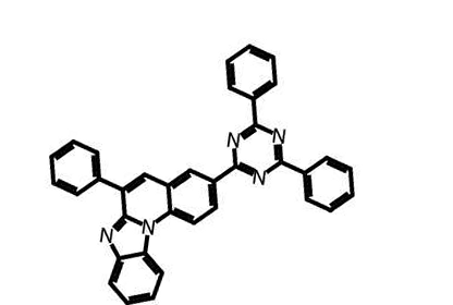 c1ccc(-c2nc(-c3ccccc3)nc(-c3ccc4c(c3)cc(-c3ccccc3)c3nc5ccccc5n34)n2)cc1